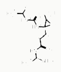 CCCCCC[C@H](NC(=O)CC[C@]1(NC(=O)NC(C)C(=O)O)SC1C(=O)O)C(=O)O